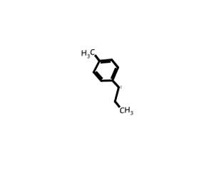 CC[C]c1ccc(C)cc1